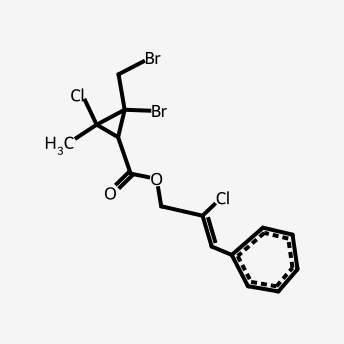 CC1(Cl)C(C(=O)OCC(Cl)=Cc2ccccc2)C1(Br)CBr